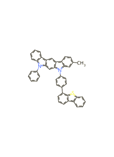 Cc1ccc2c3cc4c5ccccc5n(-c5ccccc5)c4cc3n(-c3ccc(-c4cccc5c4sc4ccccc45)cc3)c2c1